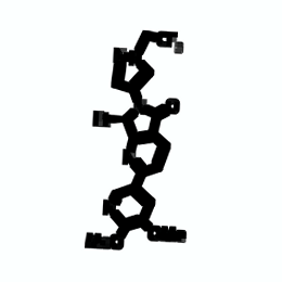 CC[C@@H]1c2nc(-c3cnc(OC)c(OC)c3)ccc2C(=O)N1c1cnn(CC(F)(F)F)c1